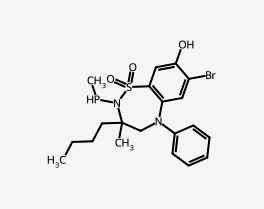 CCCCC1(C)CN(c2ccccc2)c2cc(Br)c(O)cc2S(=O)(=O)N1PC